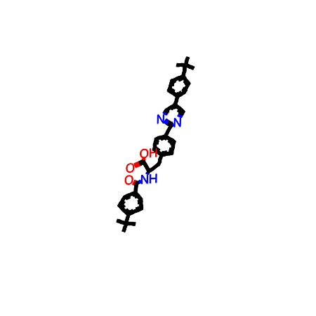 CC(C)(C)c1ccc(C(=O)NC(Cc2ccc(-c3ncc(-c4ccc(C(C)(C)C)cc4)cn3)cc2)C(=O)O)cc1